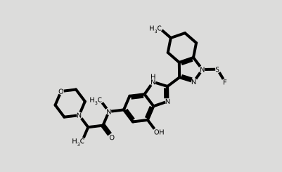 CC1CCc2c(c(-c3nc4c(O)cc(N(C)C(=O)C(C)N5CCOCC5)cc4[nH]3)nn2SF)C1